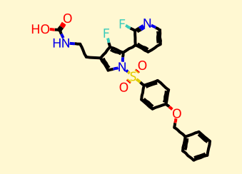 O=C(O)NCCc1cn(S(=O)(=O)c2ccc(OCc3ccccc3)cc2)c(-c2cccnc2F)c1F